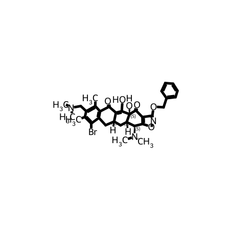 Cc1c(Br)c2c(c(C)c1CN(C)C)C(=O)C1=C(O)[C@]3(O)C(=O)c4c(OCc5ccccc5)noc4[C@@H](N(C)C)[C@@H]3C[C@@H]1C2